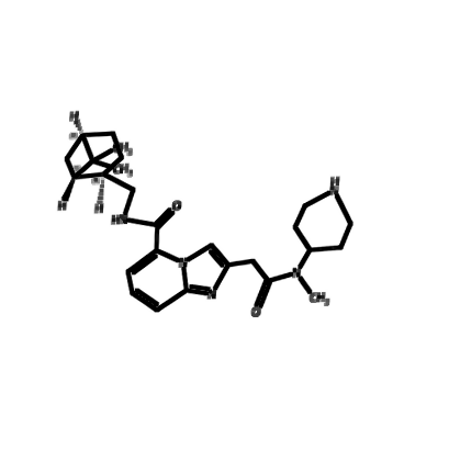 CN(C(=O)Cc1cn2c(C(=O)NC[C@@H]3CC[C@@H]4C[C@@H]3C4(C)C)cccc2n1)C1CCNCC1